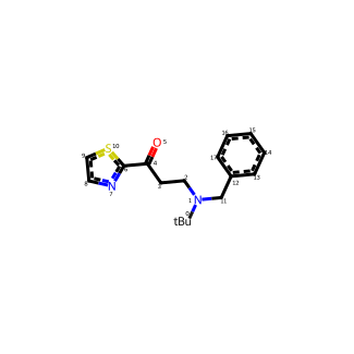 CC(C)(C)N(CCC(=O)c1nccs1)Cc1ccccc1